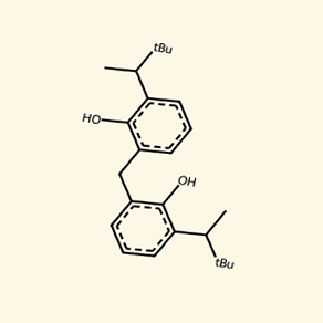 CC(c1cccc(Cc2cccc(C(C)C(C)(C)C)c2O)c1O)C(C)(C)C